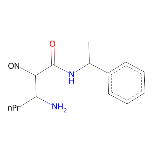 CCCC(N)C(N=O)C(=O)NC(C)c1ccccc1